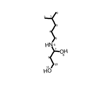 CC(C)CCCNC(O)CCO